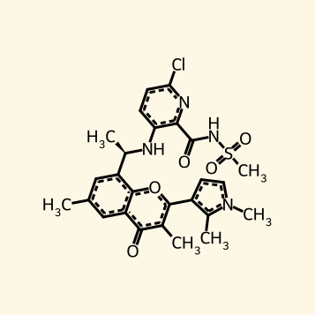 Cc1cc([C@@H](C)Nc2ccc(Cl)nc2C(=O)NS(C)(=O)=O)c2oc(-c3ccn(C)c3C)c(C)c(=O)c2c1